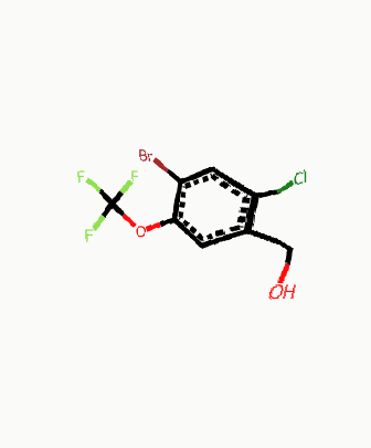 OCc1cc(OC(F)(F)F)c(Br)cc1Cl